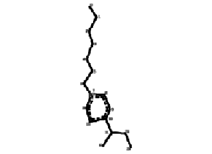 CCCCCCC[n+]1ccc(C(C)CC)cc1